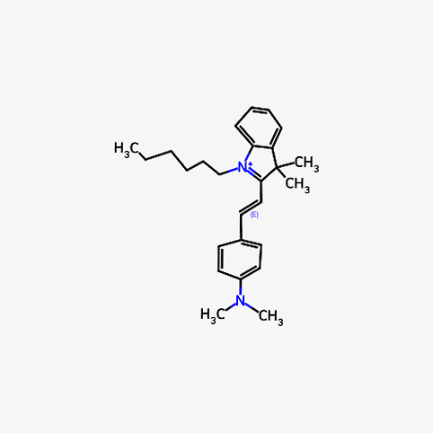 CCCCCC[N+]1=C(/C=C/c2ccc(N(C)C)cc2)C(C)(C)c2ccccc21